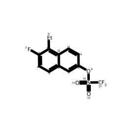 CCc1c(F)ccc2cc(OS(=O)(=O)C(F)(F)F)ccc12